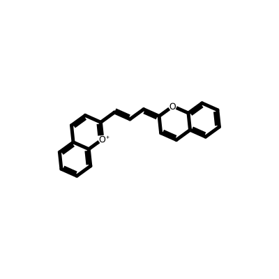 C(=Cc1ccc2ccccc2[o+]1)C=C1C=Cc2ccccc2O1